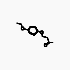 CCOc1ccc(OCCC(C)=O)cc1